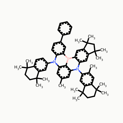 Cc1cc2c3c(c1)N(c1cc4c(cc1C)C(C)(C)CCC4(C)C)c1cc4c(cc1B3c1cc(-c3ccccc3)ccc1N2c1ccc2c(c1)C(C)(C)CCC2(C)C)C(C)(C)CC4(C)C